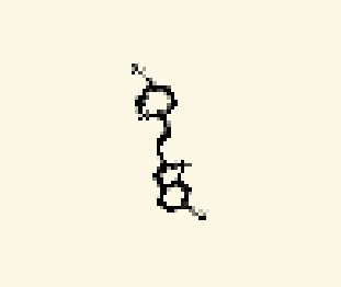 Brc1ccc(C=Cc2cc3ccc(Br)cc3[nH]2)nc1